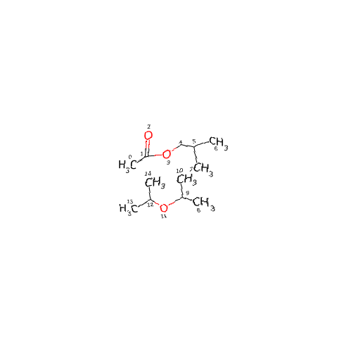 CC(=O)OCC(C)C.CC(C)OC(C)C